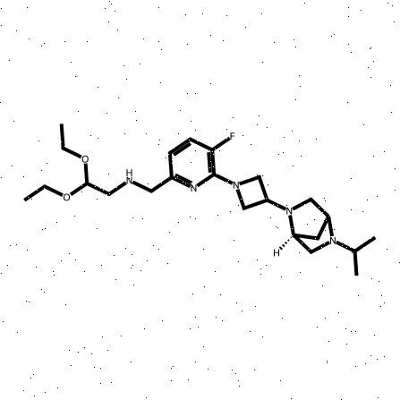 CCOC(CNCc1ccc(F)c(N2CC(N3CC4C[C@H]3CN4C(C)C)C2)n1)OCC